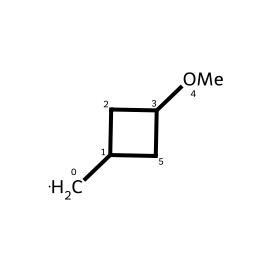 [CH2]C1CC(OC)C1